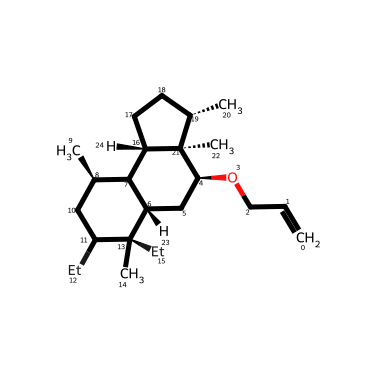 C=CCO[C@H]1C[C@H]2C([C@H](C)CC(CC)[C@]2(C)CC)[C@@H]2CC[C@H](C)[C@@]12C